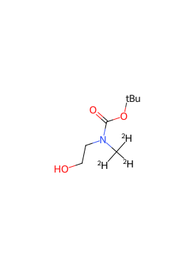 [2H]C([2H])([2H])N(CCO)C(=O)OC(C)(C)C